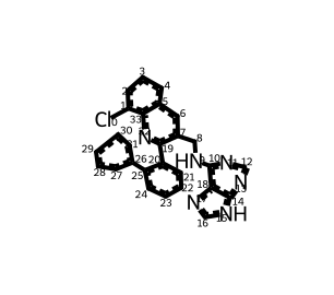 Clc1cccc2cc(CNc3ncnc4[nH]cnc34)c(-c3ccccc3-c3ccccc3)nc12